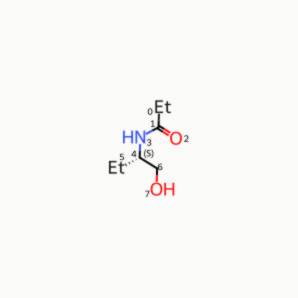 CCC(=O)N[C@@H](CC)CO